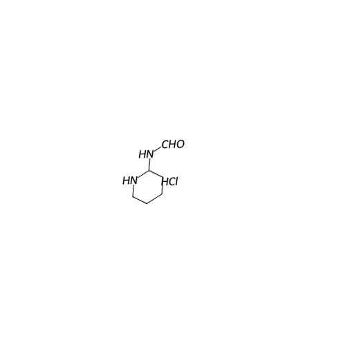 Cl.O=CNC1CCCCN1